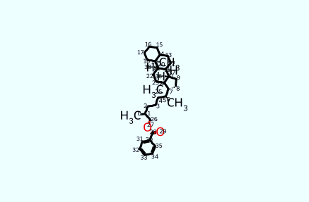 CC(CCC[C@@H](C)[C@H]1CC[C@H]2[C@@H]3CCC4CCCC[C@]4(C)[C@H]3CC[C@]12C)COC(=O)c1ccccc1